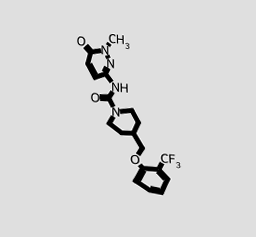 Cn1nc(NC(=O)N2CCC(COc3ccccc3C(F)(F)F)CC2)ccc1=O